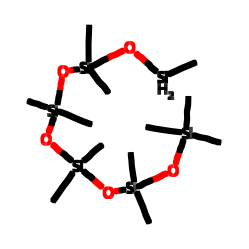 C[SiH2]O[Si](C)(C)O[Si](C)(C)O[Si](C)(C)O[Si](C)(C)O[Si](C)(C)C